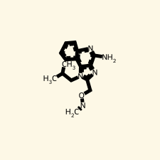 C=NOCc1nc2c(N)nc3ccccc3c2n1CC(C)C